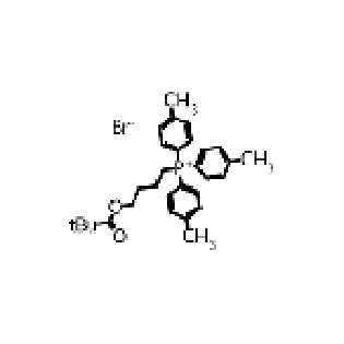 Cc1ccc([P+](CCCCOC(=O)C(C)(C)C)(c2ccc(C)cc2)c2ccc(C)cc2)cc1.[Br-]